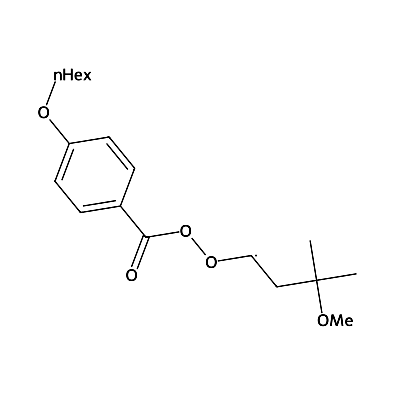 CCCCCCOc1ccc(C(=O)OO[CH]CC(C)(C)OC)cc1